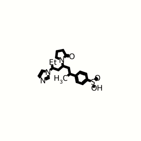 CCC(CC(CC(C)c1ccc(S(=O)O)cc1)N1CCCC1=O)n1ccnc1